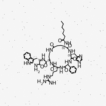 CCCCCCC(=O)N[C@H]1CCC(=O)NCC[C@@H](C(=O)N[C@@H](Cc2c[nH]c3ccccc23)C(N)=O)NC(=O)[C@H](CCCNC(=N)N)NC(=O)C(c2ccccc2)NC(=O)[C@H](Cc2c[nH]cn2)NC1=O